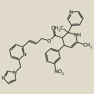 CC1=CC(c2cccc([N+](=O)[O-])c2)C(C(=O)OCC=Cc2cccc(Cn3ccnc3)n2)C(C)(c2cccnc2)N1